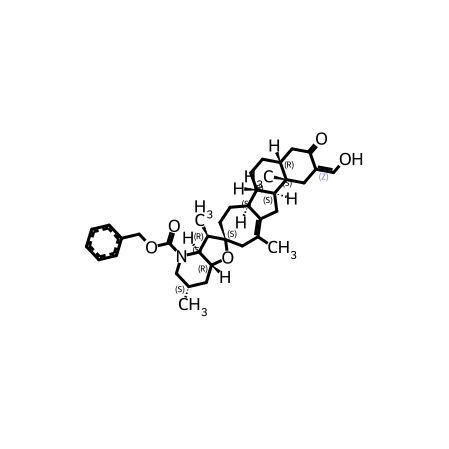 CC1=C2C[C@H]3[C@@H](CC[C@@H]4CC(=O)/C(=C\O)C[C@@]43C)[C@@H]2CC[C@@]2(C1)O[C@@H]1C[C@H](C)CN(C(=O)OCc3ccccc3)[C@H]1[C@H]2C